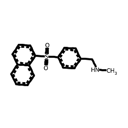 CNCc1ccc(S(=O)(=O)c2cccc3ccccc23)cc1